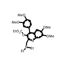 CCOC(=O)Oc1c(CN(CC)CC)nc2cc(OC)c(OC)cc2c1-c1ccc(OC)c(OC)c1